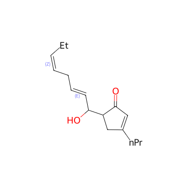 CC/C=C\C/C=C/C(O)C1CC(CCC)=CC1=O